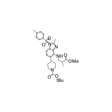 COC(=O)C(C)CNc1c(C2CCN(C(=O)OC(C)(C)C)CC2)ccc2c1nc(C)n2S(=O)(=O)c1ccc(C)cc1